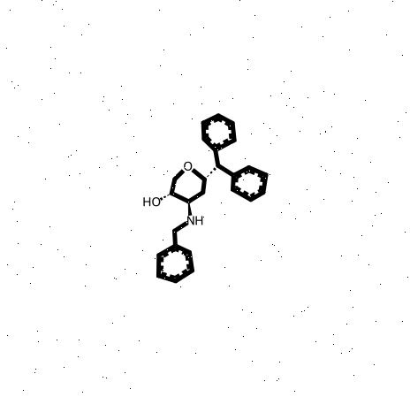 O[C@@H]1CO[C@H](C(c2ccccc2)c2ccccc2)C[C@H]1NCc1ccccc1